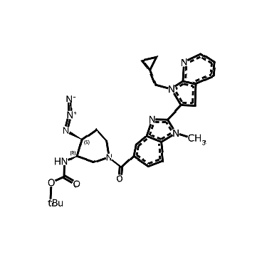 Cn1c(-c2cc3cccnc3n2CC2CC2)nc2cc(C(=O)N3CC[C@H](N=[N+]=[N-])[C@H](NC(=O)OC(C)(C)C)C3)ccc21